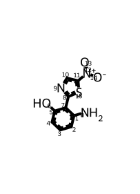 Nc1cccc(O)c1-c1ncc([N+](=O)[O-])s1